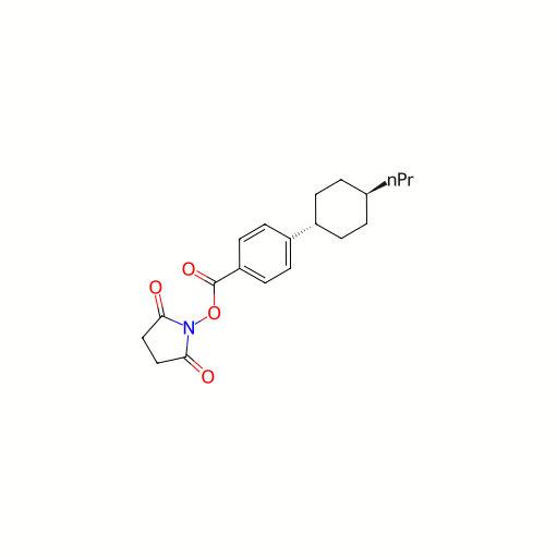 CCC[C@H]1CC[C@H](c2ccc(C(=O)ON3C(=O)CCC3=O)cc2)CC1